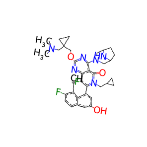 C#Cc1c(F)ccc2cc(O)cc(-c3c(F)c4nc(OCC5(CN(C)C)CC5)nc(N5CC6CCC(C5)N6)c4c(=O)n3CC3CC3)c12